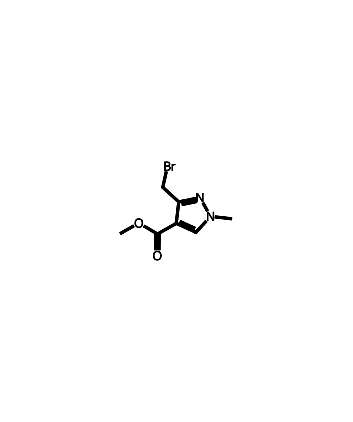 COC(=O)c1cn(C)nc1CBr